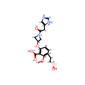 O=C(O)c1c(OC2CN(C(=O)Cc3cnc[nH]3)C2)ccc(CCBO)c1OI